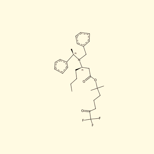 CCCC[C@H](CC(=O)OC(C)(C)CCCC(=O)C(F)(F)F)N(Cc1ccccc1)[C@H](C)c1ccccc1